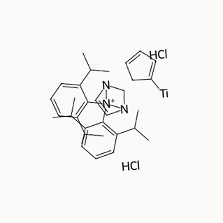 CC(C)c1cccc(C(C)C)c1[N+]1(c2c(C(C)C)cccc2C(C)C)N2C=CN1C2.Cl.Cl.[Ti][C]1=CC=CC1